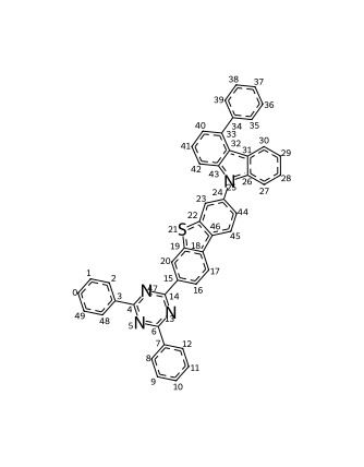 c1ccc(-c2nc(-c3ccccc3)nc(-c3ccc4c(c3)sc3cc(-n5c6ccccc6c6c(-c7ccccc7)cccc65)ccc34)n2)cc1